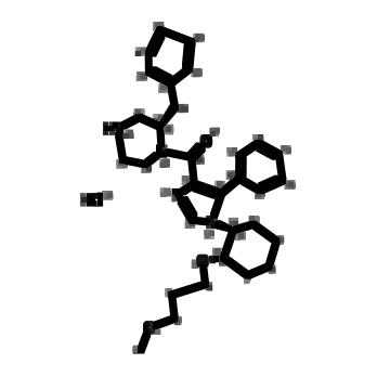 COCCCO[C@H]1CCCC[C@@H]1n1cnc(C(=O)N2CCNC[C@H]2Cc2ccccc2)c1-c1ccccc1.Cl